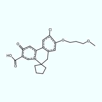 COCCCOc1cc2c(cc1Cl)-c1cc(=O)c(C(=O)O)cn1C1(CCCC1)C2